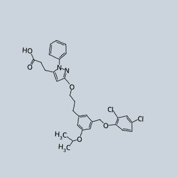 CC(C)Oc1cc(CCCOc2cc(CCC(=O)O)n(-c3ccccc3)n2)cc(COc2ccc(Cl)cc2Cl)c1